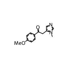 COc1ccc(C(=O)Cc2cncn2C)cc1